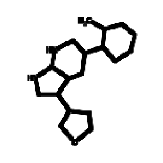 CC1CCCCC1C1CNC2NCC(C3CCOC3)C2C1